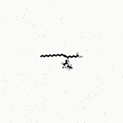 CCCCCCCCCCCCC#CC(CCCCC(=O)O)SCC(NC(=O)C(F)(F)F)C(=O)OC